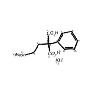 CCCCCCCCCCCC(C(=O)O)(C(=O)O)c1ccccc1.[KH]